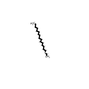 CCCCCCCCCCCCCCCCSCC